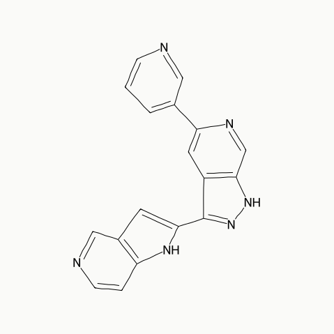 c1cncc(-c2cc3c(-c4cc5cnccc5[nH]4)n[nH]c3cn2)c1